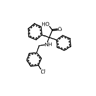 O=C(O)C(NCc1cccc(Cl)c1)(c1ccccc1)c1ccccc1